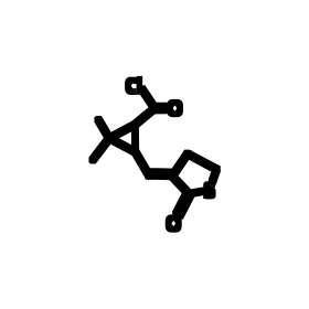 CC1(C)C(C=C2CCSC2=O)C1C(=O)Cl